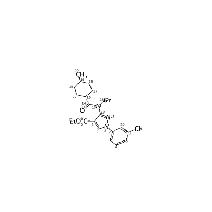 CCOC(=O)c1cn(-c2cccc(Cl)c2)nc1N(C(=O)[C@H]1CC[C@H](C)CC1)C(C)C